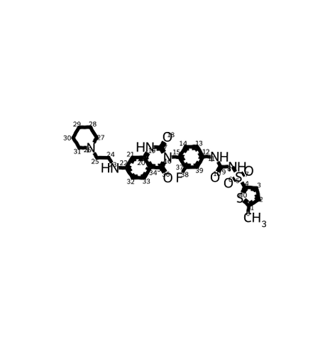 Cc1ccc(S(=O)(=O)NC(=O)Nc2ccc(-n3c(=O)[nH]c4cc(NCCN5CCCCC5)ccc4c3=O)c(F)c2)s1